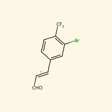 O=C/C=C/c1ccc(C(F)(F)F)c(Br)c1